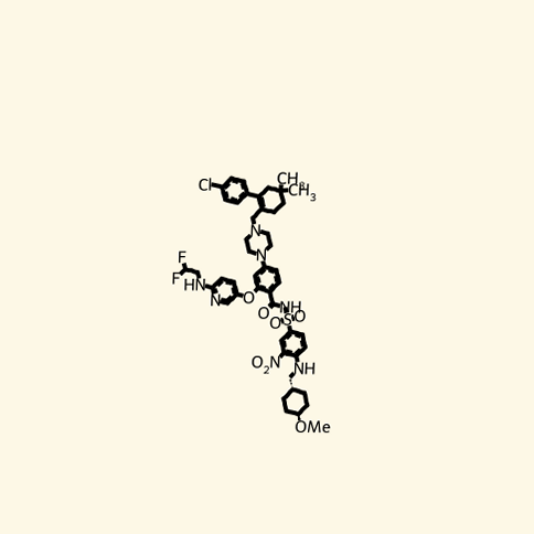 CO[C@H]1CC[C@H](CNc2ccc(S(=O)(=O)NC(=O)c3ccc(N4CCN(CC5=C(c6ccc(Cl)cc6)CC(C)(C)CC5)CC4)cc3Oc3ccc(NCC(F)F)nc3)cc2[N+](=O)[O-])CC1